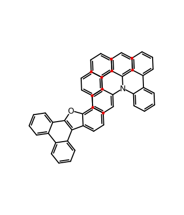 c1ccc(-c2ccccc2N(c2ccccc2-c2ccccc2)c2ccccc2-c2cccc(-c3cccc4c3oc3c5ccccc5c5ccccc5c43)c2)cc1